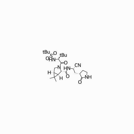 CC(C)(C)[C@H](NS(=O)(=O)C(C)(C)C)C(=O)N1C[C@H]2[C@@H]([C@H]1C(=O)N[C@H](C#N)C[C@@H]1CCNC1=O)C2(C)C